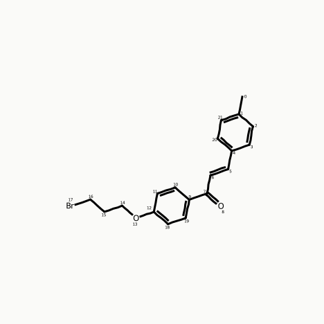 Cc1ccc(C=CC(=O)c2ccc(OCCCBr)cc2)cc1